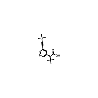 CC(C)(C)N(C(=O)O)c1cncc(C#C[Si](C)(C)C)c1